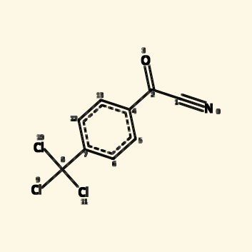 N#CC(=O)c1ccc(C(Cl)(Cl)Cl)cc1